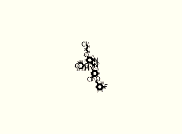 Fc1cccc(COc2ccc(Nc3ncnc4cc(OCCCCl)cc(OC5CCOCC5)c34)cc2Cl)c1